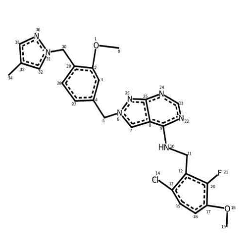 COc1cc(Cn2cc3c(NCc4c(Cl)ccc(OC)c4F)ncnc3n2)ccc1Cn1cc(C)cn1